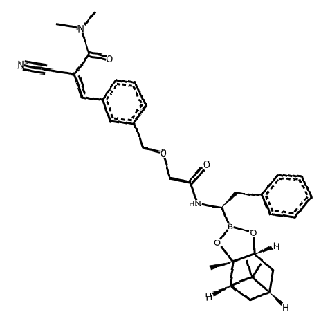 CN(C)C(=O)C(C#N)=Cc1cccc(COCC(=O)N[C@@H](Cc2ccccc2)B2O[C@@H]3C[C@@H]4C[C@@H](C4(C)C)[C@]3(C)O2)c1